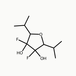 CC(C)C1OC(C(C)C)C(O)(F)C1(O)F